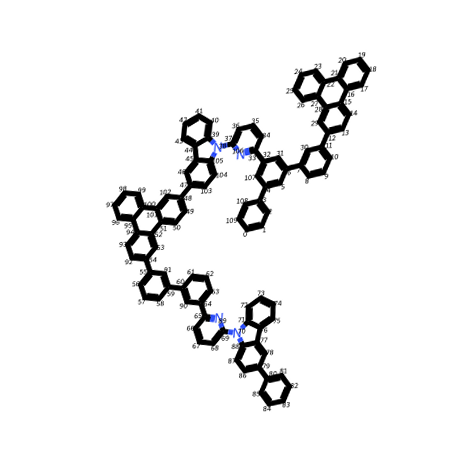 c1ccc(-c2cc(-c3cccc(-c4ccc5c6ccccc6c6ccccc6c5c4)c3)cc(-c3cccc(-n4c5ccccc5c5cc(-c6ccc7c8cc(-c9cccc(-c%10cccc(-c%11cccc(-n%12c%13ccccc%13c%13cc(-c%14ccccc%14)ccc%13%12)n%11)c%10)c9)ccc8c8ccccc8c7c6)ccc54)n3)c2)cc1